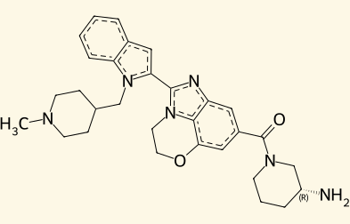 CN1CCC(Cn2c(-c3nc4cc(C(=O)N5CCC[C@@H](N)C5)cc5c4n3CCO5)cc3ccccc32)CC1